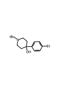 CCc1ccc(C2(O)CCN(C(C)(C)C)CC2)cc1